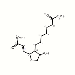 CCCCCC(=O)/C=C/C1CCC(O)C1CCCCCCC(=O)OC